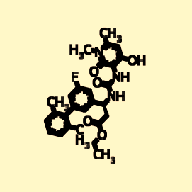 CCOC(=O)C[C@H](NC(=O)Nc1c(O)cc(C)n(C)c1=O)c1cc(F)cc(-c2c(C)cccc2C)c1